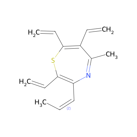 C=CC1=C(/C=C\C)N=C(C)C(C=C)=C(C=C)S1